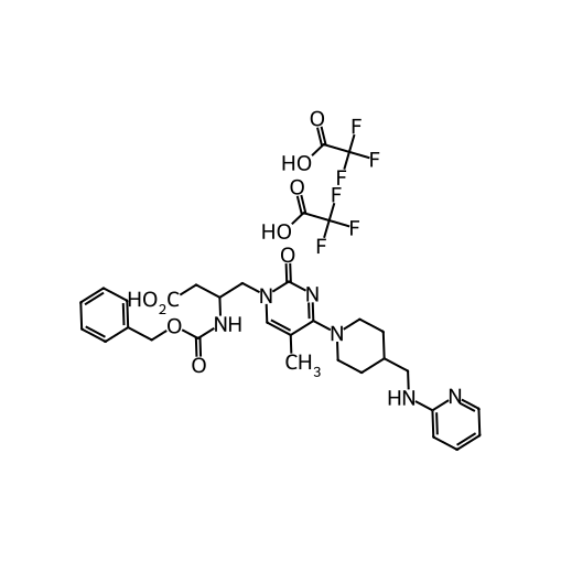 Cc1cn(CC(CC(=O)O)NC(=O)OCc2ccccc2)c(=O)nc1N1CCC(CNc2ccccn2)CC1.O=C(O)C(F)(F)F.O=C(O)C(F)(F)F